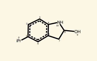 CC(C)c1ccc2c(c1)CC(O)N2